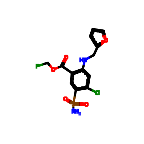 NS(=O)(=O)c1cc(C(=O)OCF)c(NCc2ccco2)cc1Cl